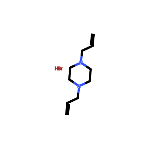 Br.C=CCN1CCN(CC=C)CC1